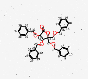 O=C1OC(COCc2ccccc2)(COCc2ccccc2)C(OCc2ccccc2)C1OCc1ccccc1